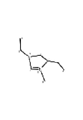 CCC1CN(CC)C=[N+]1C